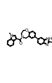 Cc1nc2ccc(-c3ccc4c(c3)CN(C(=O)c3cn(C)c5ccccc35)CCO4)cc2[nH]1